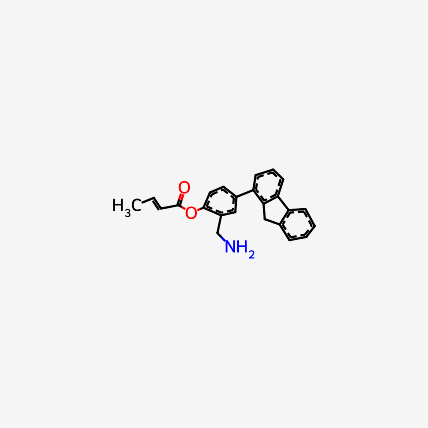 CC=CC(=O)Oc1ccc(-c2cccc3c2Cc2ccccc2-3)cc1CN